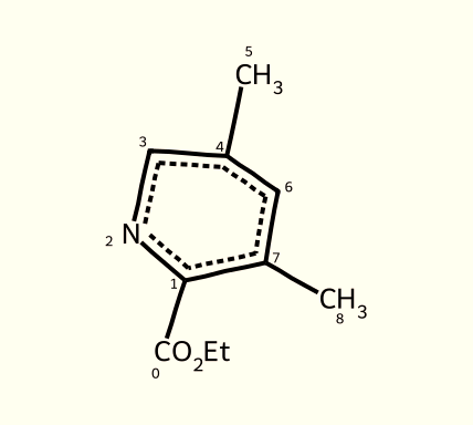 CCOC(=O)c1ncc(C)cc1C